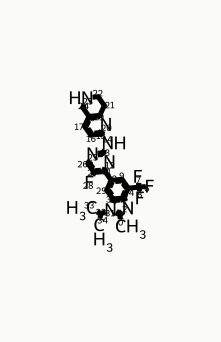 Cc1nc2c(C(F)(F)F)cc(-c3nc(Nc4ccc5c(n4)CCNC5)ncc3F)cc2n1C(C)C